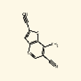 C#Cc1cc2ncc(C#N)c(C)c2s1